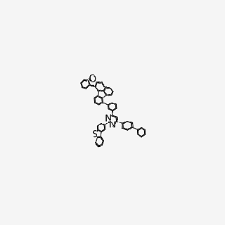 c1ccc(-c2ccc(-c3cc(-c4cccc(-c5cccc6c5-c5cccc7cc8oc9ccccc9c8c-6c57)c4)nc(-c4ccc5sc6ccccc6c5c4)n3)cc2)cc1